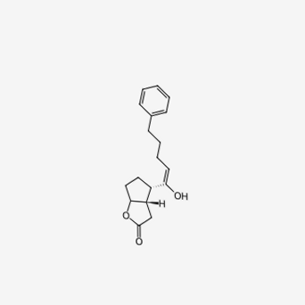 O=C1C[C@@H]2C(CC[C@@H]2/C(O)=C\CCCc2ccccc2)O1